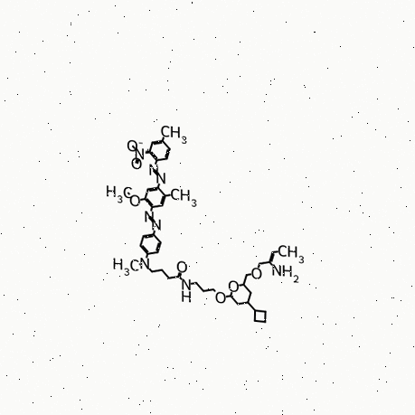 C/C=C(\N)COCC1CC(C2CCC2)CC(OCCCNC(=O)CCCN(C)c2ccc(/N=N/c3cc(C)c(/N=N/c4ccc(C)cc4[N+](=O)[O-])cc3OC)cc2)O1